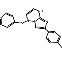 Fc1ccc(-c2cn3c(n2)NC=CN3Sc2ccncc2)cc1